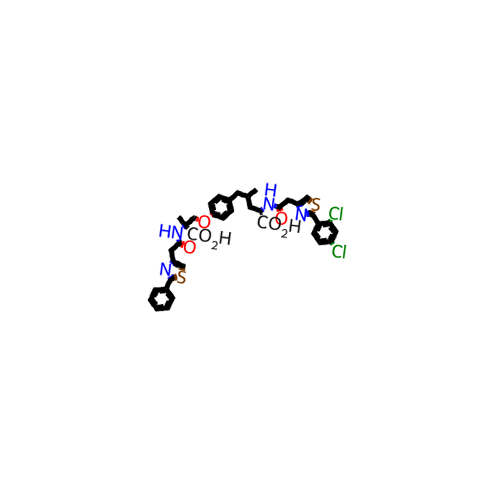 CC(Cc1ccc(OCC(C)(NC(=O)Cc2csc(-c3ccccc3)n2)C(=O)O)cc1)C[C@@H](NC(=O)Cc1csc(-c2ccc(Cl)cc2Cl)n1)C(=O)O